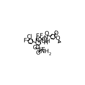 COc1cc(C(=O)NCC(O)(c2cc3c(c(-c4ccc(F)c(Cl)c4)n2)OC[C@]3(CF)C(N)=O)C(F)(F)F)ccc1OC1CC1